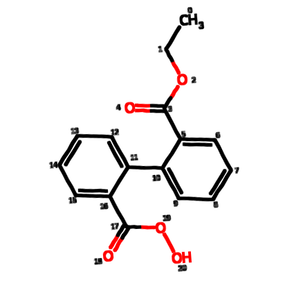 CCOC(=O)c1ccccc1-c1ccccc1C(=O)OO